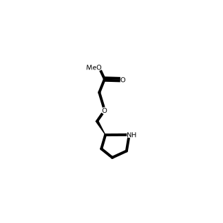 COC(=O)COC[C@@H]1CCCN1